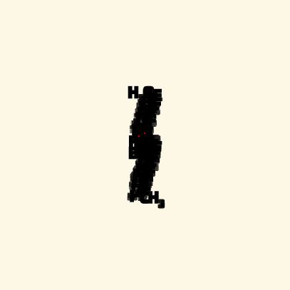 CCO[Si](OCC)(C(F)(F)C(F)(F)C(F)(F)C(F)(F)C(F)(F)C(F)(F)C(F)(F)C(F)(F)C(C)F)C(F)(F)C(F)(F)C(F)(F)C(F)(F)C(F)(F)C(F)(F)C(F)(F)C(F)(F)C(C)F